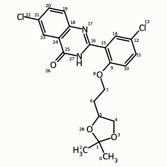 CC1(C)OCC(CCOc2ccc(Cl)cc2-c2nc3ccc(Cl)cc3c(=O)[nH]2)O1